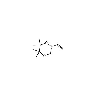 C=CB1COC(C)(C)C(C)(C)O1